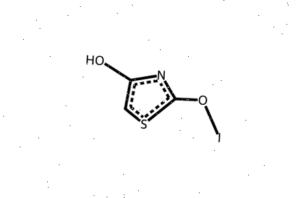 Oc1csc(OI)n1